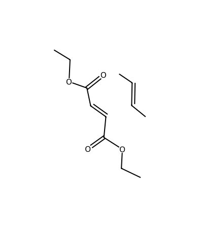 CC=CC.CCOC(=O)C=CC(=O)OCC